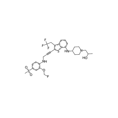 CC(O)CN1CCC(Nc2cccc3c(CC(F)(F)F)c(C#CCNc4ccc(S(C)(=O)=O)cc4OCF)sc23)CC1